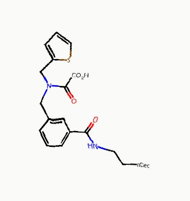 CCCCCCCCCCCCNC(=O)c1cccc(CN(Cc2cccs2)C(=O)C(=O)O)c1